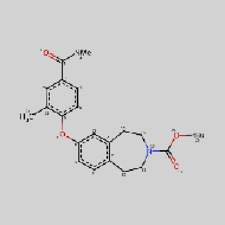 CNC(=O)c1ccc(Oc2ccc3c(c2)CCN(C(=O)OC(C)(C)C)CC3)c(C)c1